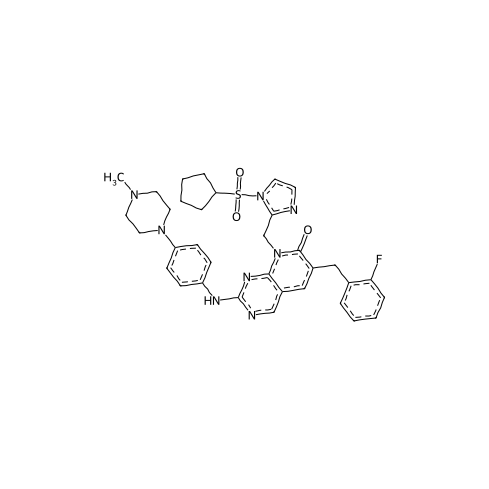 CN1CCN(c2ccc(Nc3ncc4cc(Cc5ccccc5F)c(=O)n(Cc5nccn5S(=O)(=O)C5CCCC5)c4n3)cc2)CC1